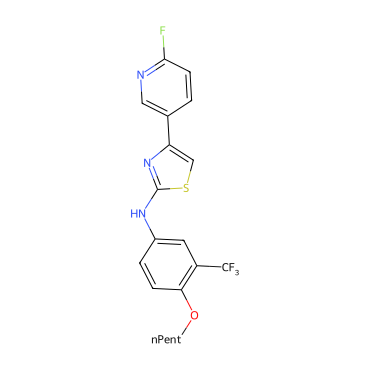 CCCCCOc1ccc(Nc2nc(-c3ccc(F)nc3)cs2)cc1C(F)(F)F